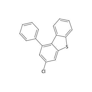 Clc1cc(-c2ccccc2)c2c(c1)sc1ccccc12